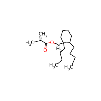 C=C(C)C(=O)O[SiH2]C1(CCCC)CCCCC1CCCC